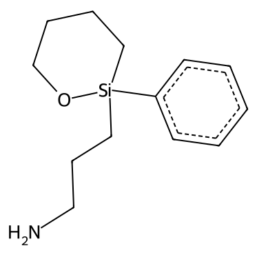 NCCC[Si]1(c2ccccc2)CCCCO1